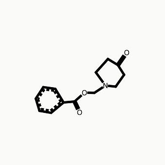 O=C1CCN(COC(=O)c2ccccc2)CC1